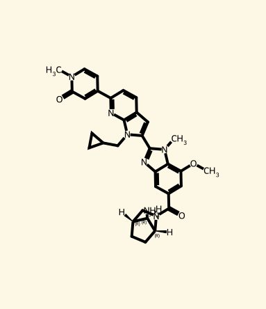 COc1cc(C(=O)N2C[C@H]3CC[C@@H]2[C@@H]3N)cc2nc(-c3cc4ccc(-c5ccn(C)c(=O)c5)nc4n3CC3CC3)n(C)c12